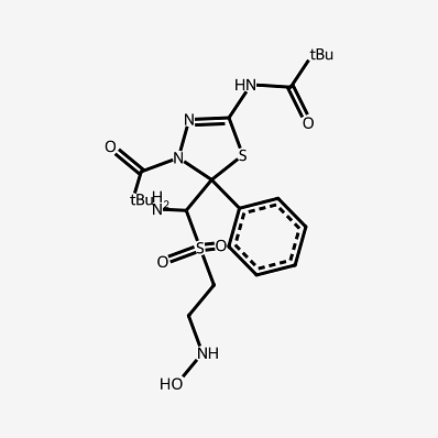 CC(C)(C)C(=O)NC1=NN(C(=O)C(C)(C)C)C(c2ccccc2)(C(N)S(=O)(=O)CCNO)S1